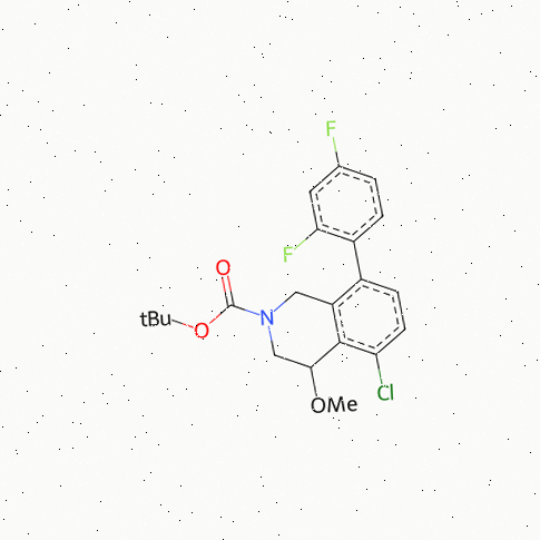 COC1CN(C(=O)OC(C)(C)C)Cc2c(-c3ccc(F)cc3F)ccc(Cl)c21